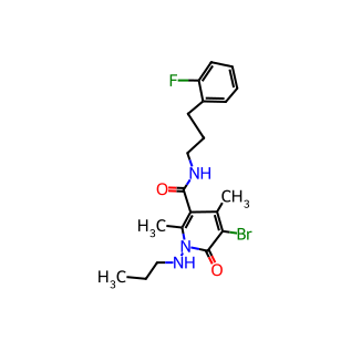 CCCNn1c(C)c(C(=O)NCCCc2ccccc2F)c(C)c(Br)c1=O